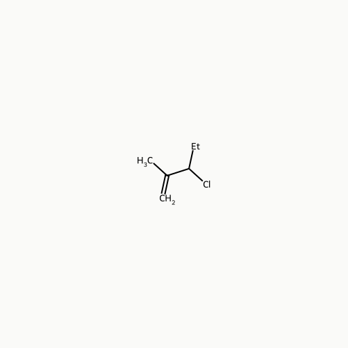 C=C(C)C(Cl)CC